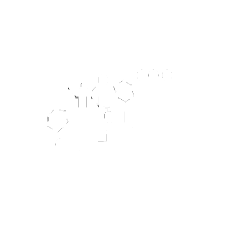 C[C@H](NC(=O)[C@H]1CCCCN1Cc1cccc(C(F)(F)F)c1)c1ccc(C(=O)[O-])cc1.[Li+]